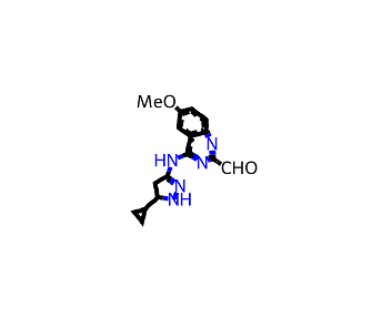 COc1ccc2nc(C=O)nc(NC3=NNC(C4CC4)C3)c2c1